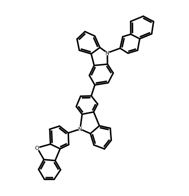 c1ccc2cc(-n3c4ccccc4c4cc(-c5ccc6c(c5)c5ccccc5n6-c5ccc6oc7ccccc7c6c5)ccc43)ccc2c1